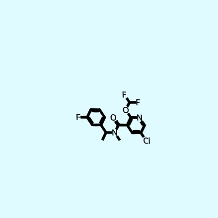 CC(c1cccc(F)c1)N(C)C(=O)c1cc(Cl)cnc1OC(F)F